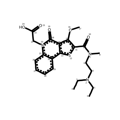 CCN(CC)CCN(C)C(=O)c1sc2c(c1OC)c(=O)n(CC(=O)O)c1ccccc21